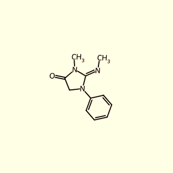 C/N=C1\N(C)C(=O)CN1c1ccccc1